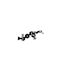 FC(F)(F)CCNc1nc(Br)cn2c(-c3ccc(-c4cnc(C5CC5)[nH]4)cc3)cnc12